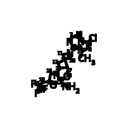 Cc1cc(Cl)n2ncnc(N3CC4(CC(N(CCCC(F)(F)F)S(N)(=O)=O)C4)C3)c12